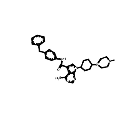 CN1CCN(C2CCC(n3cc(C(=O)Nc4ccc(Cc5ccccc5)cc4)c4c(N)ncnc43)CC2)CC1